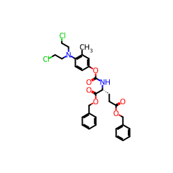 Cc1cc(OC(=O)N[C@H](CCC(=O)OCc2ccccc2)C(=O)OCc2ccccc2)ccc1N(CCCl)CCCl